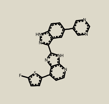 Fc1ccc(-c2ccnc3[nH]c(-c4n[nH]c5ccc(-c6cncnc6)cc45)nc23)s1